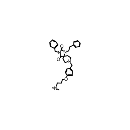 CN(C)CCCOc1ccc(CN2CCC3(CC2)C(=O)N(Cc2ccccc2)C(=O)N3CCc2ccccc2)cc1